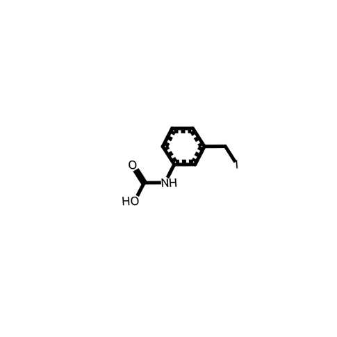 O=C(O)Nc1cccc(CI)c1